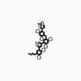 C=C/C(=C\N(C)OC)c1cc(Cc2cc(-c3cncc(-c4cc(C/C=C/C)c(OC)cc4OC)c3)c(OC)cc2OC)c(OC)cc1OC